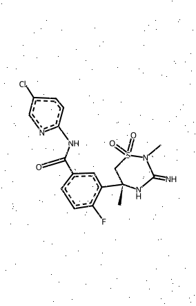 CN1C(=N)N[C@](C)(c2cc(C(=O)Nc3ccc(Cl)cn3)ccc2F)CS1(=O)=O